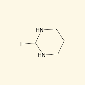 IC1NCCCN1